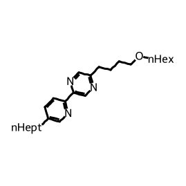 CCCCCCCc1ccc(-c2cnc(CCCCOCCCCCC)cn2)nc1